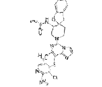 Cc1nc(N2CCC3(Cc4ccccc4O3)C(N[S+]([O-])C(C)(C)C)C2)n2ccnc2c1Sc1ccnc(N)c1Cl